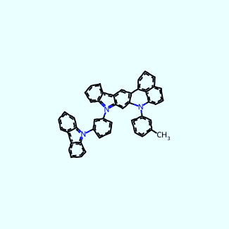 Cc1cccc(N2c3cc4c(cc3-c3cccc5cccc2c35)c2ccccc2n4-c2cccc(-n3c4ccccc4c4ccccc43)c2)c1